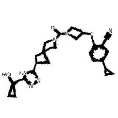 N#Cc1cc(C2CC2)ccc1OC1CN(C(=O)N2CC3(CC(c4nnc(C5(O)CC5)[nH]4)C3)C2)C1